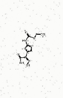 NC(=O)C(=NO)c1csc(NC(=O)OCC(Cl)(Cl)Cl)n1